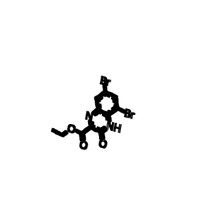 CCOC(=O)c1nc2cc(Br)cc(Br)c2[nH]c1=O